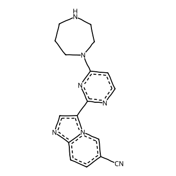 N#Cc1ccc2ncc(-c3nccc(N4CCCNCC4)n3)n2c1